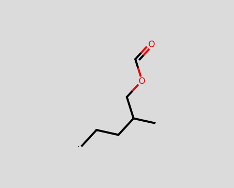 [CH2]CCC(C)COC=O